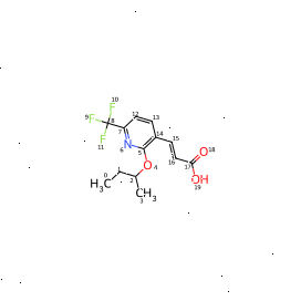 CCC(C)Oc1nc(C(F)(F)F)ccc1C=CC(=O)O